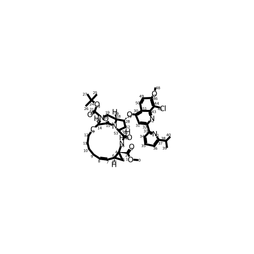 COC(=O)[C@@]12C[C@H]1/C=C\CCCCC[C@@H]1C(=O)N3[C@H](CN1C(=O)OC(C)(C)C)[C@H](Oc1cc(-c4cccc(C(C)C)n4)nc4c(Cl)c(OC)ccc14)C[C@H]3C(=O)N2